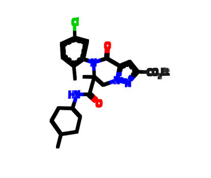 CCOC(=O)c1cc2n(n1)CC(C)(C(=O)NC1CCC(C)CC1)N(c1cc(Cl)ccc1C)C2=O